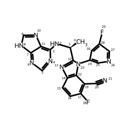 C[C@H](Nc1ncnc2[nH]cnc12)c1nc2ccc(F)c(C#N)c2n1-c1cncc(F)c1